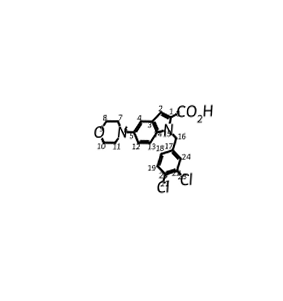 O=C(O)c1cc2cc(N3CCOCC3)ccc2n1Cc1ccc(Cl)c(Cl)c1